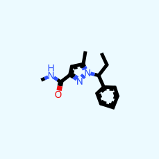 CCC(c1ccccc1)n1nc(C(=O)NC)cc1C